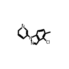 Cc1ccc2c(cnn2C2=CN(C)CC=C2)c1Cl